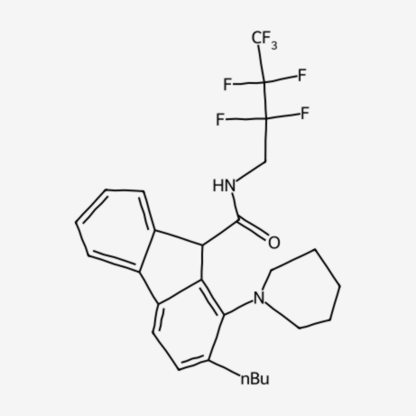 CCCCc1ccc2c(c1N1CCCCC1)C(C(=O)NCC(F)(F)C(F)(F)C(F)(F)F)c1ccccc1-2